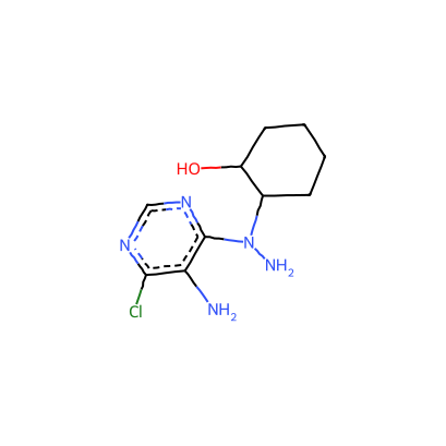 Nc1c(Cl)ncnc1N(N)C1CCCCC1O